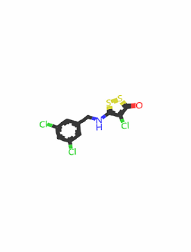 O=c1ssc(NCc2cc(Cl)cc(Cl)c2)c1Cl